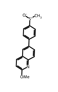 COc1ccc2cc(-c3ccc([S+](C)[O-])cc3)ccc2n1